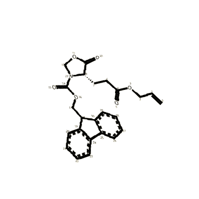 C=CCOC(=O)CC[C@H]1C(=O)OCN1C(=O)OCC1c2ccccc2-c2ccccc21